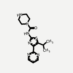 CC(C)c1sc(NC(=O)N2CCNCC2)nc1-c1ncccn1